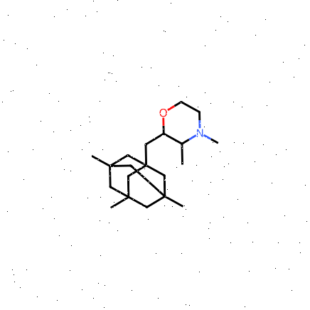 CC1C(CC23CC4(C)CC(C)(CC(C)(C4)C2)C3)OCCN1C